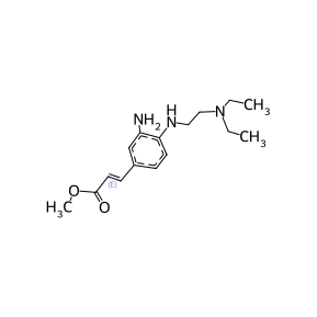 CCN(CC)CCNc1ccc(/C=C/C(=O)OC)cc1N